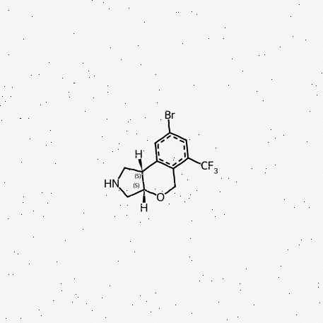 FC(F)(F)c1cc(Br)cc2c1CO[C@@H]1CNC[C@H]21